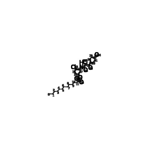 CCCCCCCCCCCCS(=O)(=O)Oc1ccc(Cl)c(NC(=O)C(Cl)C(=O)c2ccc(OC)cc2)c1